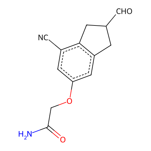 N#Cc1cc(OCC(N)=O)cc2c1CC(C=O)C2